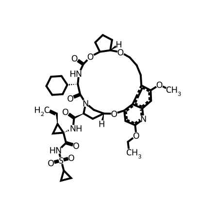 C=C[C@@H]1C[C@]1(NC(=O)[C@@H]1C[C@@H]2CN1C(=O)[C@H](C1CCCCC1)NC(=O)OC1CCC[C@@H]1OCCCc1cc3c(cc(OCC)nc3cc1OC)O2)C(=O)NS(=O)(=O)C1CC1